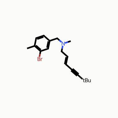 Cc1ccc(CN(C)CC=CC#CC(C)(C)C)cc1Br